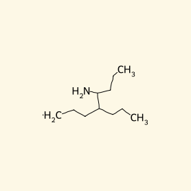 [CH2]CCC(CCC)C(N)CCC